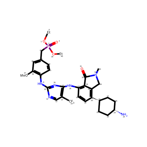 CCOP(=O)(Cc1ccc(Nc2ncc(C(F)(F)F)c(Nc3ccc([C@H]4CC[C@@H](N)CC4)c4c3C(=O)N(C)C4)n2)c(OC)c1)OCC